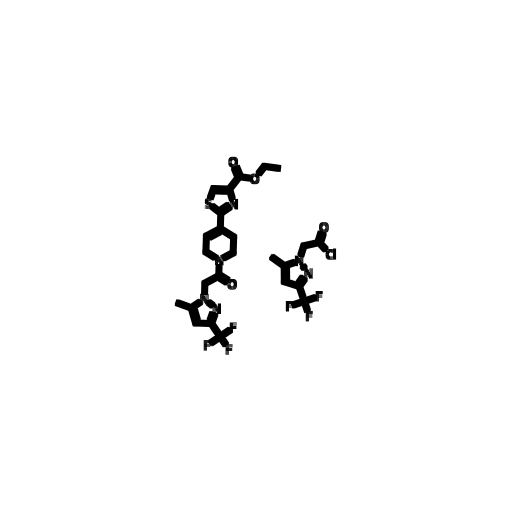 CCOC(=O)c1csc(C2=CCN(C(=O)Cn3nc(C(F)(F)F)cc3C)CC2)n1.Cc1cc(C(F)(F)F)nn1CC(=O)Cl